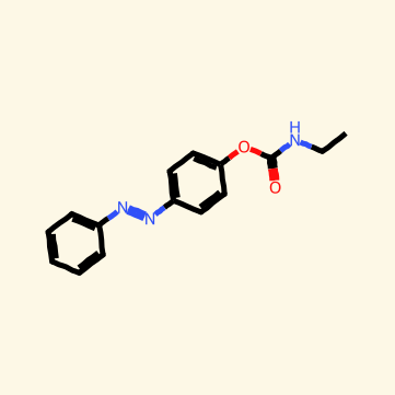 CCNC(=O)Oc1ccc(N=Nc2ccccc2)cc1